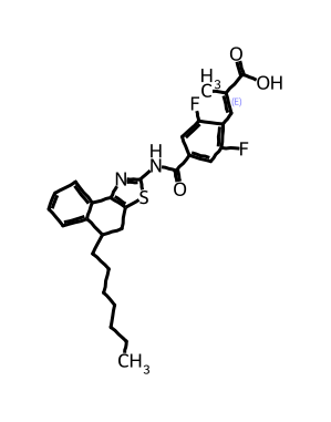 CCCCCCCC1Cc2sc(NC(=O)c3cc(F)c(/C=C(\C)C(=O)O)c(F)c3)nc2-c2ccccc21